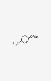 COC1C=C[C@@H](C)CC1